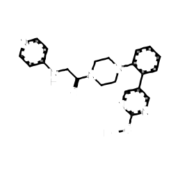 COc1ncc(-c2ccccc2N2CCN(C(=O)CNc3ccncc3)CC2)cn1